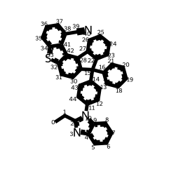 CCc1nc2ccccc2n1-c1ccc(C2(c3ccccc3)c3ccccc3-c3c2ccc2sc4cccc(C#N)c4c32)cc1